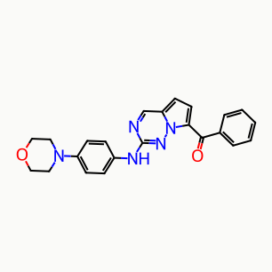 O=C(c1ccccc1)c1ccc2cnc(Nc3ccc(N4CCOCC4)cc3)nn12